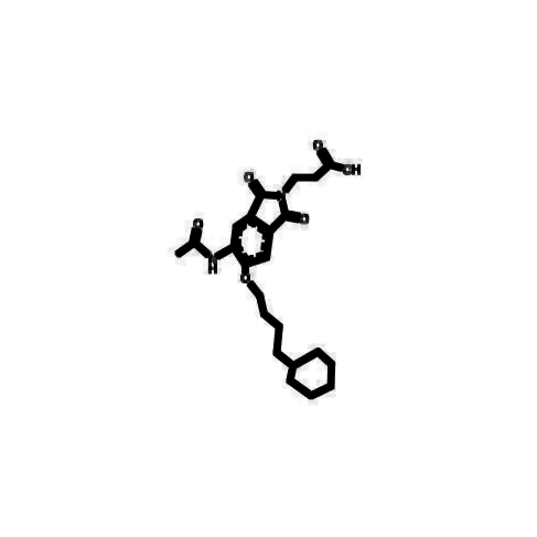 CC(=O)Nc1cc2c(cc1OCCCCC1CCCCC1)C(=O)N(CCC(=O)O)C2=O